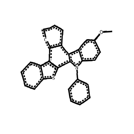 COc1ccc2c(c1)c1c3ccccc3c3c4ccccc4sc3c1n2-c1ccccc1